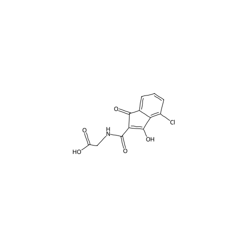 O=C(O)CNC(=O)C1=C(O)c2c(Cl)cccc2C1=O